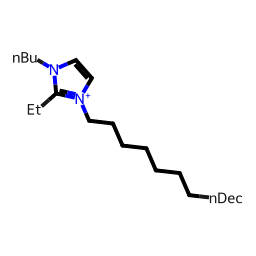 CCCCCCCCCCCCCCCCC[n+]1ccn(CCCC)c1CC